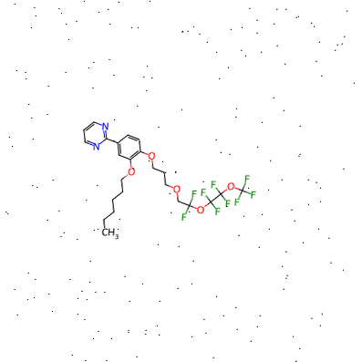 CCCCCCOc1cc(-c2ncccn2)ccc1OCCCOCC(F)(F)OC(F)(F)C(F)(F)OC(F)(F)F